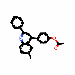 CC(=O)Oc1ccc(-c2cc(-c3ccccc3)nc3ccc(C)cc23)cc1